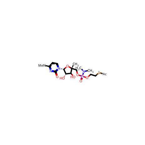 CNc1ccn([C@@H]2O[C@](C)(COP(=O)(OCCSC(C)=O)N(C)C)C(O)[C@@H]2O)c(=O)n1